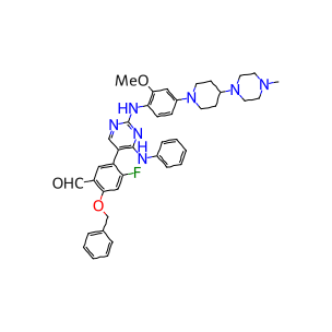 COc1cc(N2CCC(N3CCN(C)CC3)CC2)ccc1Nc1ncc(-c2cc(C=O)c(OCc3ccccc3)cc2F)c(Nc2ccccc2)n1